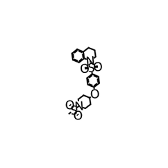 CS(=O)(=O)N1CCC(Oc2ccc(S(=O)(=O)N3CCCc4ccccc43)cc2)CC1